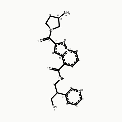 CC(C)CC(CNC(=O)c1cccn2nc(C(=O)N3CC[C@@H](N)C3)cc12)c1cccnc1